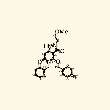 COCCn1[nH]c2cc(=O)n(Cc3ccccn3)c(OCc3ccc(F)cc3)c2c1=O